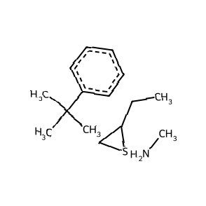 CC(C)(C)c1ccccc1.CCC1CS1.CN